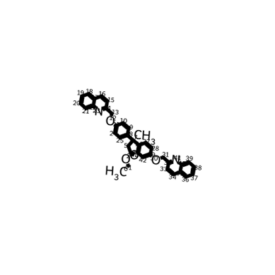 CCOC(=O)CC(C)(c1ccc(OCc2ccc3ccccc3n2)cc1)c1ccc(OCc2ccc3ccccc3n2)cc1